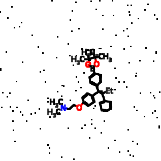 CCC(=C(c1ccc(OCCN(C)C)cc1)c1ccc(B2OC(C)(C)C(C)(C)O2)cc1)c1ccccc1